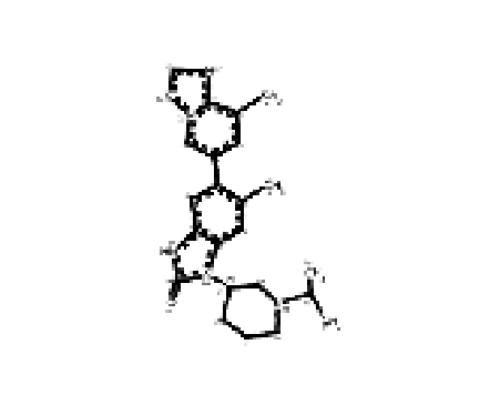 Cc1cc2c(cc1-c1cc(C)c3ncnn3c1)[nH]c(=O)n2[C@@H]1CCCN(C(C)C)C1